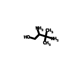 CC(C)(N)C(N)CO